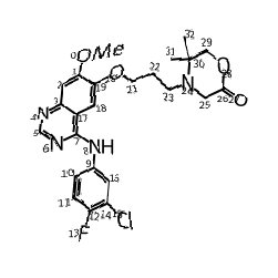 COc1cc2ncnc(Nc3ccc(F)c(Cl)c3)c2cc1OCCCN1CC(=O)OCC1(C)C